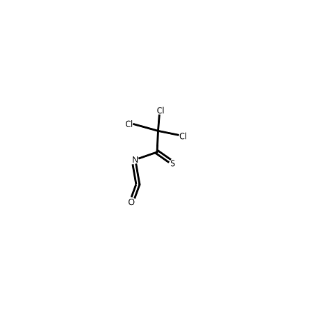 O=C=NC(=S)C(Cl)(Cl)Cl